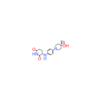 CCC1(O)CCN(c2ccc(NC3CCC(=O)NC3=O)cc2)CC1